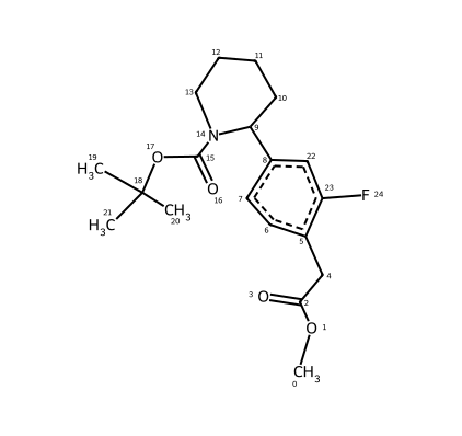 COC(=O)Cc1ccc(C2CCCCN2C(=O)OC(C)(C)C)cc1F